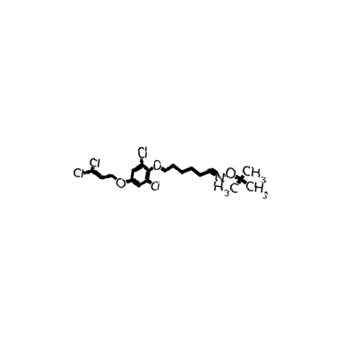 CC(C)(C)ON=CCCCCCOc1c(Cl)cc(OCC=C(Cl)Cl)cc1Cl